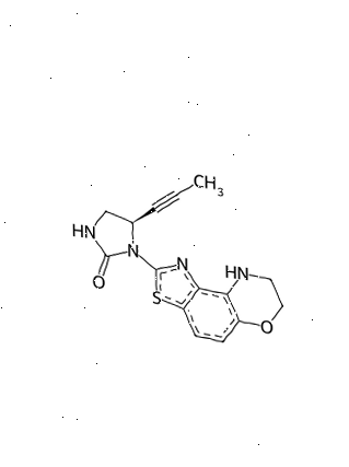 CC#C[C@@H]1CNC(=O)N1c1nc2c3c(ccc2s1)OCCN3